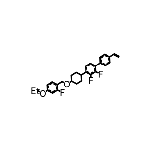 C=Cc1ccc(-c2ccc(C3CCC(OCc4ccc(OCC)cc4F)CC3)c(F)c2F)cc1